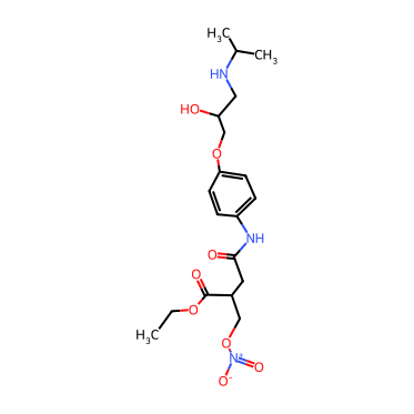 CCOC(=O)C(CO[N+](=O)[O-])CC(=O)Nc1ccc(OCC(O)CNC(C)C)cc1